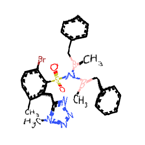 CB(Cc1ccccc1)N(B(C)Cc1ccccc1)S(=O)(=O)c1c(Br)ccc(C)c1-c1nnnn1C